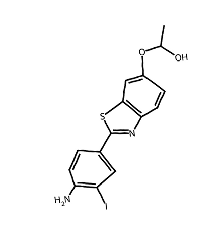 CC(O)Oc1ccc2nc(-c3ccc(N)c(I)c3)sc2c1